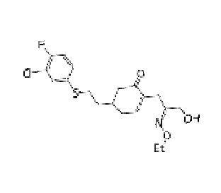 CCON=C(CO)CC1=CCC(CCSc2ccc(F)c(Cl)c2)CC1=O